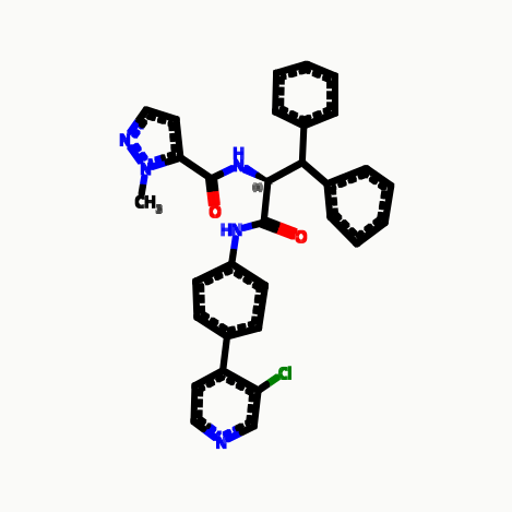 Cn1nccc1C(=O)N[C@H](C(=O)Nc1ccc(-c2ccncc2Cl)cc1)C(c1ccccc1)c1ccccc1